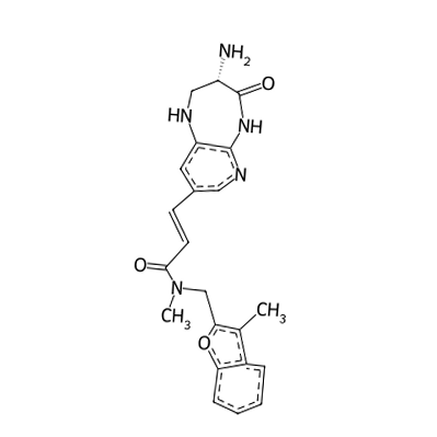 Cc1c(CN(C)C(=O)/C=C/c2cnc3c(c2)NC[C@H](N)C(=O)N3)oc2ccccc12